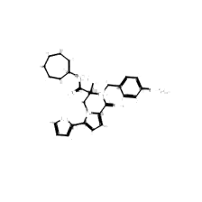 COc1ccc(CN2C(=O)c3ccc(-c4ccco4)n3CC2(C)C(=O)NC2CCCCCC2)cc1